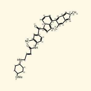 COC1CCC(NC/C=C/C(=O)Nc2ccc(C(=O)c3ccc4c(-c5cc6cn(C)nc6cc5C)cccn34)cc2C#N)CC1